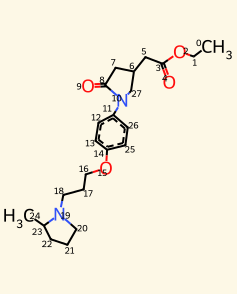 CCOC(=O)CC1CC(=O)N(c2ccc(OCCCN3CCCC3C)cc2)C1